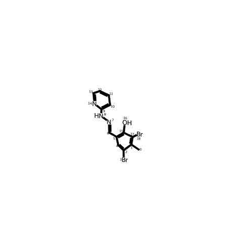 Cc1c(Br)cc(/C=N/Nc2ccccn2)c(O)c1Br